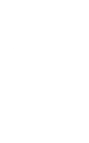 CCC[C@H](CCO)CCCC(C)C